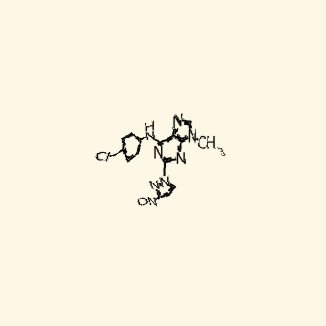 Cn1cnc2c(Nc3ccc(Cl)cc3)nc(-n3ccc(N=O)n3)nc21